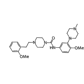 COc1ccccc1CCN1CCN(C(=O)Nc2ccc(OC)c(N3CCN(C)CC3)c2)CC1